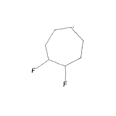 FC1CC[CH]CCC1F